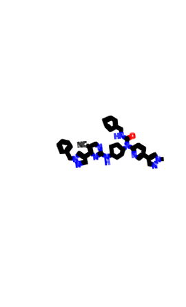 Cn1cc(-c2ccc(N(C(=O)NCc3ccccc3)C3CCC(Nc4ncc(C#N)c(-c5cnn(Cc6ccccc6)c5)n4)CC3)nc2)cn1